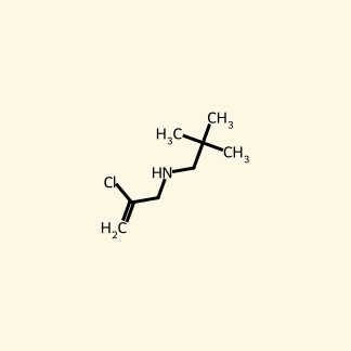 C=C(Cl)CNCC(C)(C)C